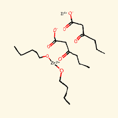 CCCC(=O)CC(=O)[O-].CCCC(=O)CC(=O)[O-].CCCC[O][Zr+2][O]CCCC.[Zr+4]